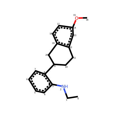 CCNc1ccccc1C1CCc2cc(OC)ccc2C1